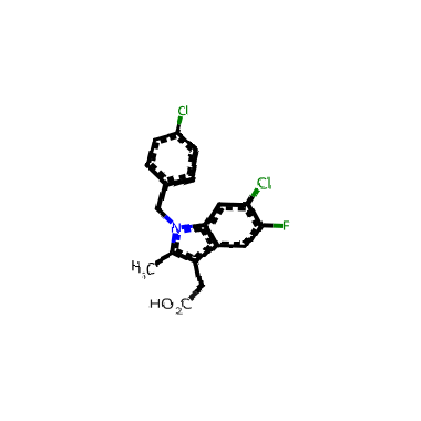 Cc1c(CC(=O)O)c2cc(F)c(Cl)cc2n1Cc1ccc(Cl)cc1